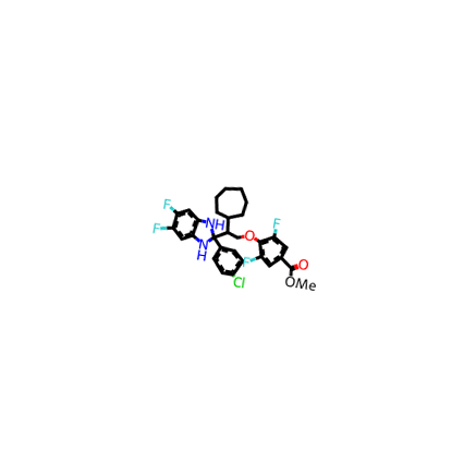 COC(=O)c1cc(F)c(OCC(C2CCCCCC2)C2(c3ccc(Cl)cc3)Nc3cc(F)c(F)cc3N2)c(F)c1